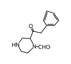 O=[C]N1CCNCC1C(=O)Cc1ccccc1